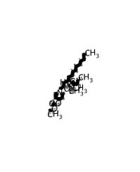 CCCCCCCCCCCCC(CN1CCC(OC(=O)OCC)CC1)O[Si](C)(C)C(C)(C)CCC